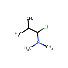 CC(C)C(Cl)N(C)C